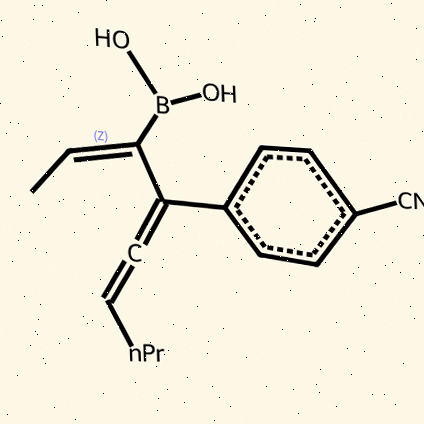 C/C=C(/B(O)O)C(=C=CCCC)c1ccc(C#N)cc1